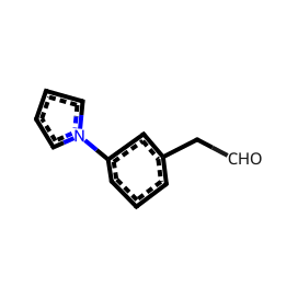 O=CCc1cccc(-n2cccc2)c1